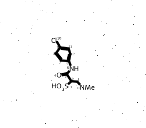 CNCC(C(=O)Nc1ccc(Cl)cc1)S(=O)(=O)O